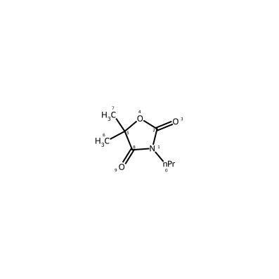 CCCN1C(=O)OC(C)(C)C1=O